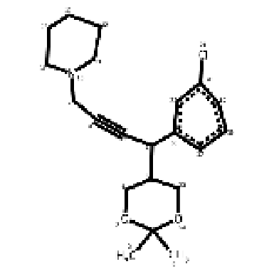 CC1(C)OCC(C(C#CCN2CCCCC2)c2cccc(Cl)c2)CO1